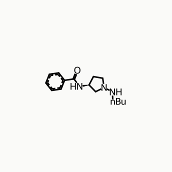 CCCCNN1CC[C@H](NC(=O)c2ccccc2)C1